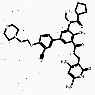 CCN(C(=O)C1CCCC1)c1cc(-c2ccc(OCCN3CCOCC3)c(C#N)c2)cc(C(=O)NCc2c(C)cc(C)[nH]c2=O)c1C